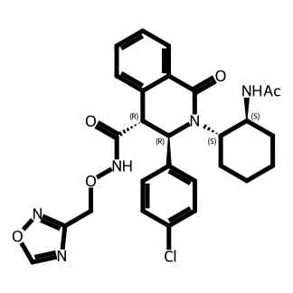 CC(=O)N[C@H]1CCCC[C@@H]1N1C(=O)c2ccccc2[C@@H](C(=O)NOCc2ncon2)[C@@H]1c1ccc(Cl)cc1